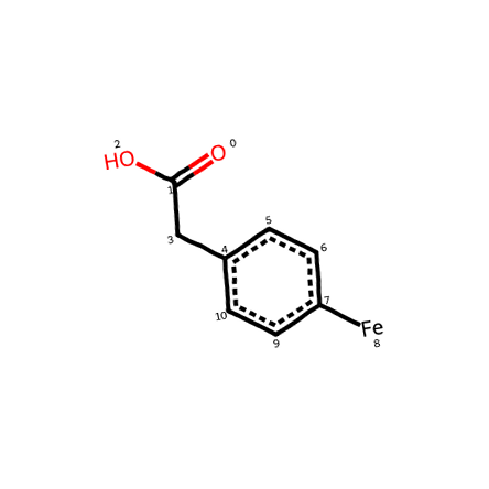 O=C(O)Cc1cc[c]([Fe])cc1